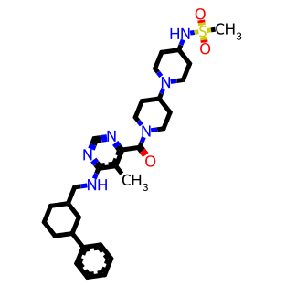 Cc1c(NCC2CCCC(c3ccccc3)C2)ncnc1C(=O)N1CCC(N2CCC(NS(C)(=O)=O)CC2)CC1